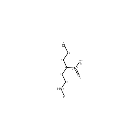 CNCCC(CCCl)[N+](=O)[O-]